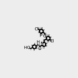 O=C(Nc1ccc(CO)cc1)c1cccc(Cc2cc(Cl)ccc2OCc2ccc(Cl)cc2F)n1